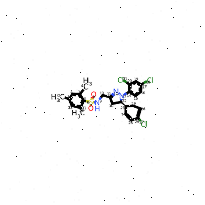 Cc1cc(C)c(S(=O)(=O)NCC2=NN(c3ccc(Cl)cc3Cl)C([C@@H]3C=CC(Cl)=CC3)C2)c(C)c1